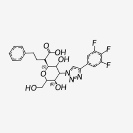 O=C(O)C(CCc1ccccc1)[C@@H]1OC(CO)[C@H](O)C(n2cc(-c3cc(F)c(F)c(F)c3)nn2)C1O